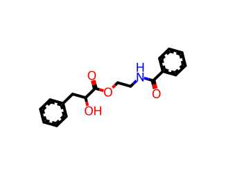 O=C(NCCOC(=O)C(O)Cc1ccccc1)c1ccccc1